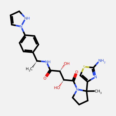 C[C@@H](NC(=O)[C@H](O)[C@@H](O)C(=O)N1CCCC1(C)c1csc(N)n1)c1ccc(N2C=CCN2)cc1